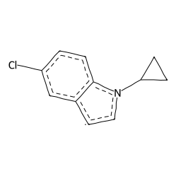 Clc1ccc2c([c]cn2C2CC2)c1